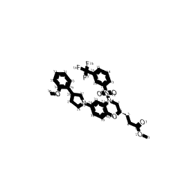 COC(=O)CC[C@H]1CN(S(=O)(=O)c2cccc(C(F)(F)F)c2)c2cc(N3CCC(c4ccccc4OC)C3)ccc2O1